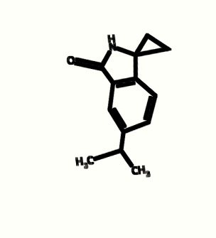 CC(C)c1ccc2c(c1)C(=O)NC21CC1